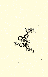 C[Si](C)(C)CCOCn1cc(N)nc1C(=O)Nc1ccc(C(CN)CN)cc1C1=CCCCC1